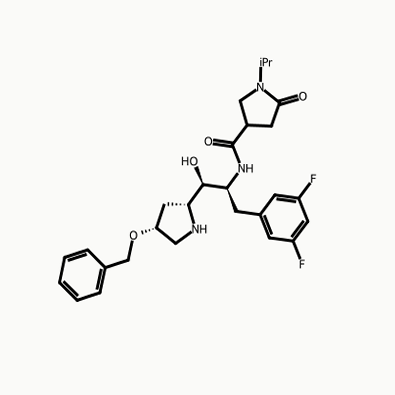 CC(C)N1CC(C(=O)N[C@@H](Cc2cc(F)cc(F)c2)[C@H](O)[C@H]2C[C@@H](OCc3ccccc3)CN2)CC1=O